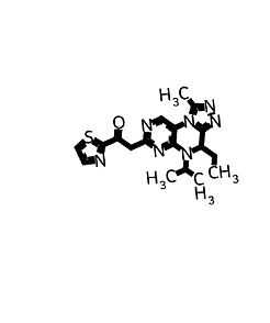 CCC1c2nnc(C)n2-c2cnc(CC(=O)c3nccs3)nc2N1C(C)C